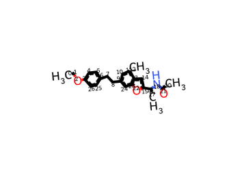 CCOc1ccc(CCc2cc(C)c3cc(C(C)NC(C)=O)oc3c2)cc1